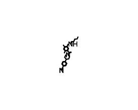 C=C(c1cc(CNCCCCC)c(C)cc1C)N1CCC(c2ccc(C#N)cc2)CC1